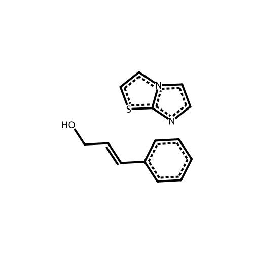 OCC=Cc1ccccc1.c1cn2ccsc2n1